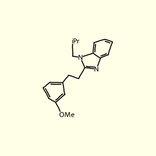 COc1cccc(CCc2nc3ccccc3n2CC(C)C)c1